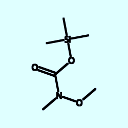 CON(C)C(=O)O[Si](C)(C)C